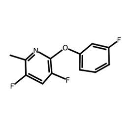 Cc1nc(Oc2cccc(F)c2)c(F)cc1F